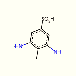 Cc1c([NH])cc(S(=O)(=O)O)cc1[NH]